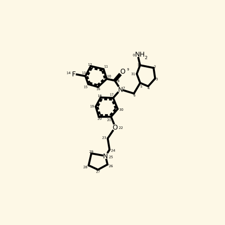 NC1CCCC(CN(C(=O)c2ccc(F)cc2)c2cccc(OCCN3CCCC3)c2)C1